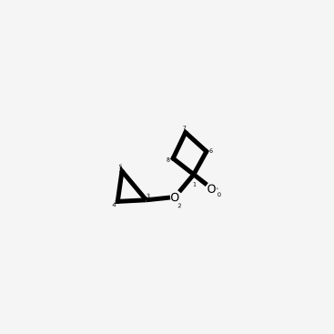 [O]C1(OC2CC2)CCC1